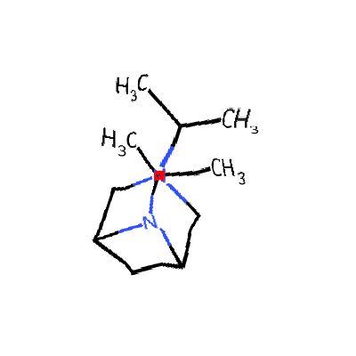 CC(C)N1CC2CC(C1)N2C(C)C